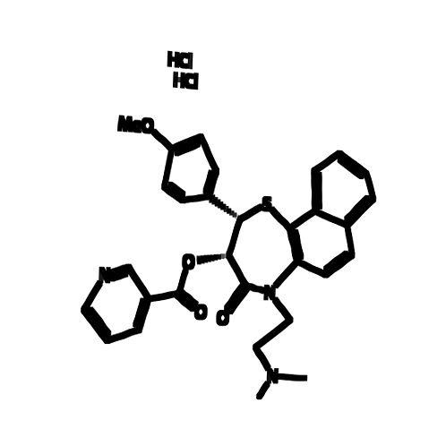 COc1ccc([C@@H]2Sc3c(ccc4ccccc34)N(CCN(C)C)C(=O)[C@@H]2OC(=O)c2cccnc2)cc1.Cl.Cl